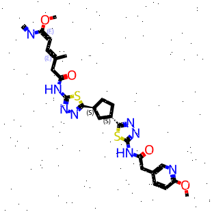 C=N/C(=C\C=C(/C)CC(=O)Nc1nnc([C@H]2CC[C@H](c3nnc(NC(=O)Cc4ccc(OC)nc4)s3)C2)s1)OC